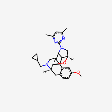 COc1ccc2c(c1)[C@]13CCN(CC4CC4)[C@H](C2)[C@]12CCC1C3[C@@H](CN1c1nc(C)cc(C)n1)O2